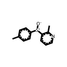 Cc1ccc([S+]([O-])c2cccnc2C)cc1